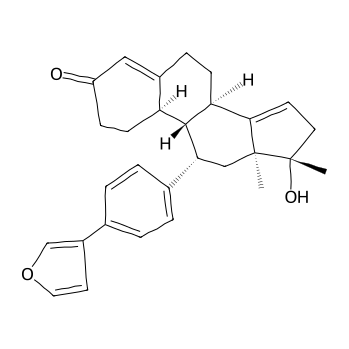 C[C@]1(O)CC=C2[C@@H]3CCC4=CC(=O)CC[C@@H]4[C@H]3[C@@H](c3ccc(-c4ccoc4)cc3)C[C@@]21C